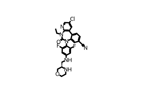 CCN1C(=O)N(c2c(F)cc(NC[C@@H]3COCCN3)cc2F)c2cc(C#N)ccc2-c2cc(Cl)cnc21